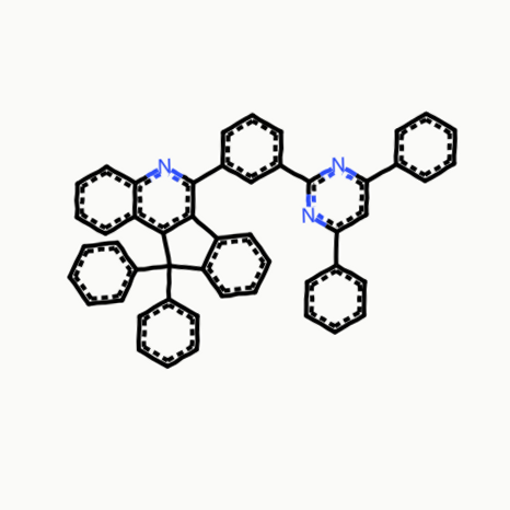 c1ccc(-c2cc(-c3ccccc3)nc(-c3cccc(-c4nc5ccccc5c5c4-c4ccccc4C5(c4ccccc4)c4ccccc4)c3)n2)cc1